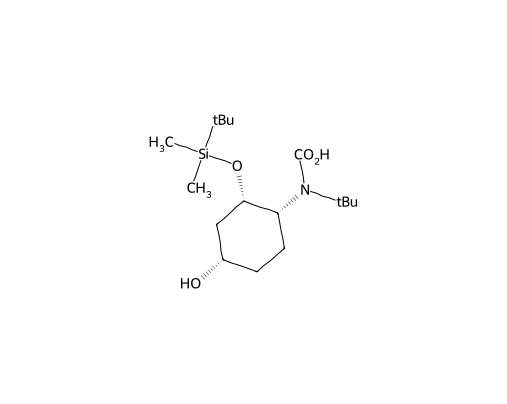 CC(C)(C)N(C(=O)O)[C@@H]1CC[C@H](O)C[C@@H]1O[Si](C)(C)C(C)(C)C